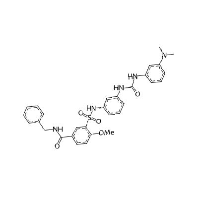 COc1ccc(C(=O)NCc2ccccc2)cc1S(=O)(=O)Nc1cccc(NC(=O)Nc2cccc(N(C)C)c2)c1